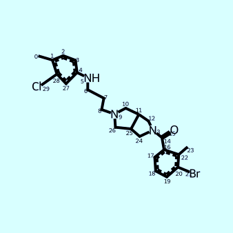 Cc1ccc(NCCCN2CC3CN(C(=O)c4cccc(Br)c4C)CC3C2)cc1Cl